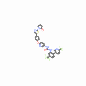 O=C(Nc1ccc(Oc2ccc(-c3cnc(N4CCCC4=O)s3)cc2)nc1)Nc1cc(C(F)(F)F)ccc1-c1ccc(C(F)(F)F)nc1